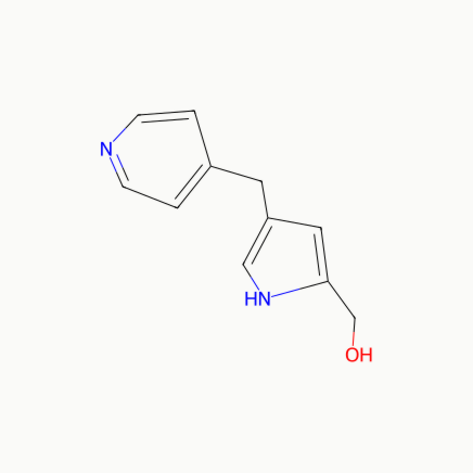 OCc1cc(Cc2ccncc2)c[nH]1